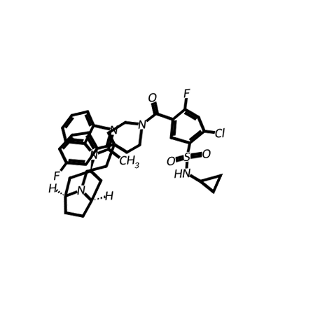 Cc1nc2ccccc2n1[C@H]1C[C@H]2CC[C@@H](C1)N2CCC1(c2cccc(F)c2)CCN(C(=O)c2cc(S(=O)(=O)NC3CC3)c(Cl)cc2F)CC1